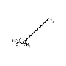 CCCCCCCCCCCCCCCCCC[C@@H](C)/C=C(\C)C(=O)O